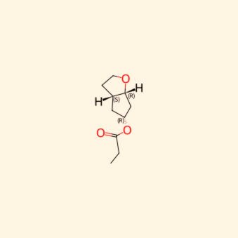 CCC(=O)O[C@@H]1C[C@@H]2CCO[C@@H]2C1